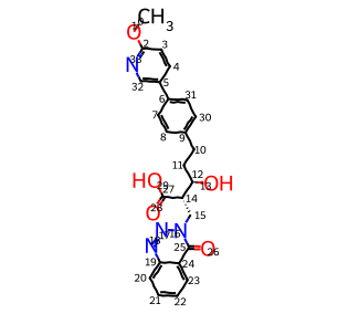 COc1ccc(-c2ccc(CC[C@@H](O)[C@H](Cn3nnc4ccccc4c3=O)C(=O)O)cc2)cn1